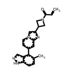 C=CC(=O)N1CC(c2cn3ccc(-c4c(C)ccc5[nH]ncc45)cc3n2)C1